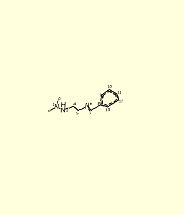 CN(C)NCCN=Cc1ccccc1